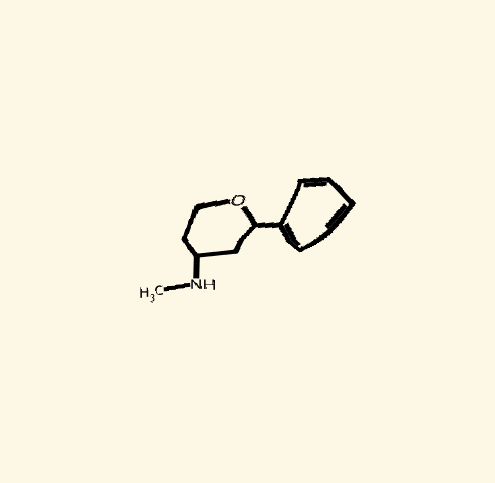 CNC1CCOC(c2ccccc2)C1